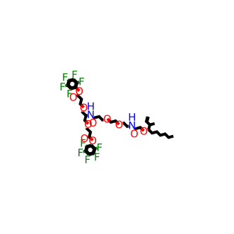 C=CC(C)C(CCCCCC)OCC(=O)NCCOCCOCCC(=O)NC(COCCC(=O)Oc1c(F)c(F)c(F)c(F)c1F)COCCC(=O)Oc1c(F)c(F)c(F)c(F)c1F